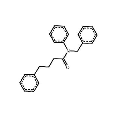 O=C(CCCc1ccccc1)N(Cc1ccccc1)c1cc[c]cc1